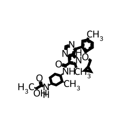 Cc1ccc(OCC2CC2)c(-c2ncnc3c(C(=O)N[C@@H]4CC[C@H](NC(=O)[C@H](C)O)C[C@H]4C)c(C)[nH]c23)c1